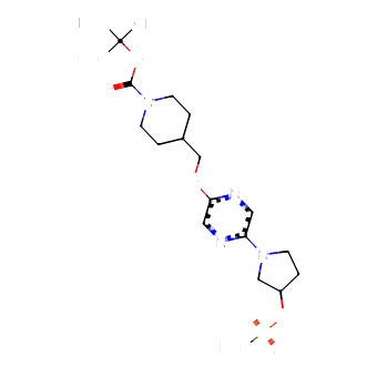 CC(C)(C)OC(=O)N1CCC(COc2cnc(N3CCC(OS(C)(=O)=O)C3)cn2)CC1